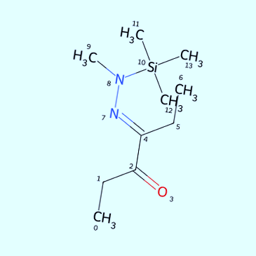 CCC(=O)C(CC)=NN(C)[Si](C)(C)C